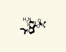 CCC(C)n1ccc2c(OC(=O)N(C)C)nc(N)nc21